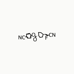 N#CC(F)=C[C@H]1CC[C@H](C(=O)Oc2ccc(C#N)cc2)CC1